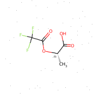 C[C@H](OC(=O)C(F)(F)F)C(=O)O